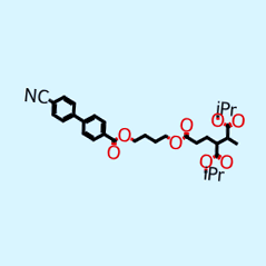 CC(C)OC(=O)C(C)C(CCC(=O)OCCCCOC(=O)c1ccc(-c2ccc(C#N)cc2)cc1)C(=O)OC(C)C